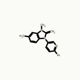 C=C1N(C)c2cc(C)ccc2N1c1ccc(C(C)=O)nc1